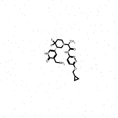 C[C@@H](C(=O)Nc1ccc(OCC2CC2)nn1)N1CCC(F)(F)[C@@H](c2c[nH]c(=O)c(CN)c2)C1